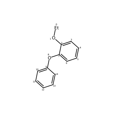 CCOc1ccccc1Oc1ccccc1